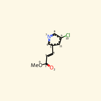 COC(=O)C=Cc1cncc(Cl)c1